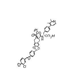 Cc1nccc(-c2ccc(CC(NC(=O)C3Cc4cc5c(cc4CN3C(=O)OC(C)C)OC(c3ccc(OCc4ccc(Cl)c(Cl)c4)cc3)CO5)C(=O)O)cc2)c1C